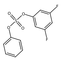 O=S(=O)(Oc1ccccc1)Oc1cc(F)cc(F)c1